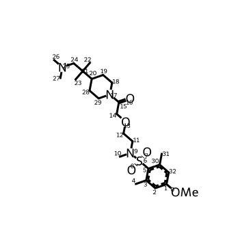 COc1cc(C)c(S(=O)(=O)N(C)CCOCC(=O)N2CCC(C(C)(C)CN(C)C)CC2)c(C)c1